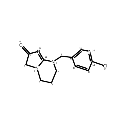 O=C1CN2CCCN(Cc3ccc(Cl)nc3)C2=N1